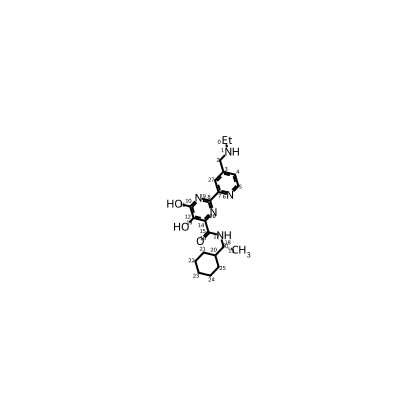 CCNCc1ccnc(-c2nc(O)c(O)c(C(=O)N[C@H](C)C3CCCCC3)n2)c1